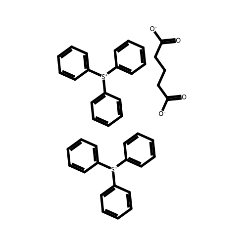 O=C([O-])CCCC(=O)[O-].c1ccc([S+](c2ccccc2)c2ccccc2)cc1.c1ccc([S+](c2ccccc2)c2ccccc2)cc1